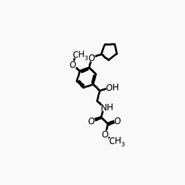 COC(=O)C(=O)NCC(O)c1ccc(OC)c(OC2CCCC2)c1